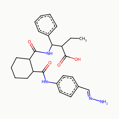 CCC(C(=O)O)C(NC(=O)C1CCCCC1C(=O)Nc1ccc(C=NN)cc1)c1ccccc1